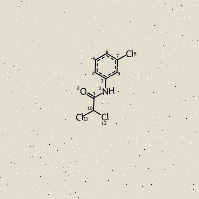 O=C(Nc1cccc(Cl)c1)C(Cl)Cl